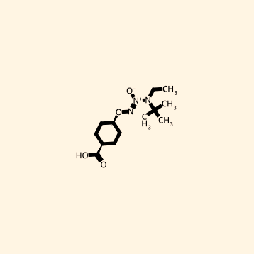 CCN(/[N+]([O-])=N/O[C@H]1CC[C@@H](C(=O)O)CC1)C(C)(C)C